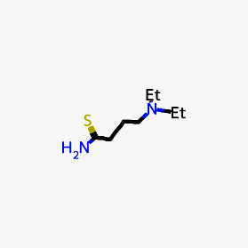 CCN(CC)CCCC(N)=S